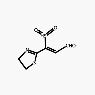 O=[C]C=C(C1=NCCS1)[SH](=O)=O